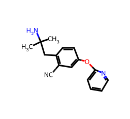 CC(C)(N)Cc1ccc(Oc2ccccn2)cc1C#N